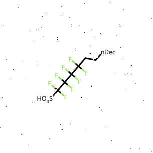 CCCCCCCCCCCCC(F)(F)C(F)(F)C(F)(F)C(F)(F)S(=O)(=O)O